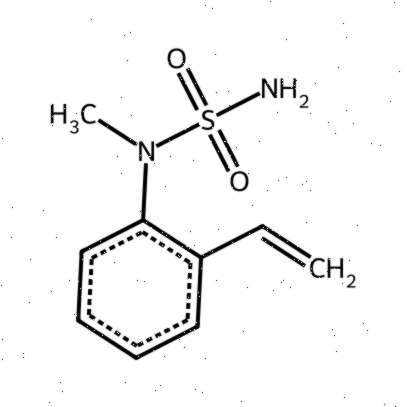 C=Cc1ccccc1N(C)S(N)(=O)=O